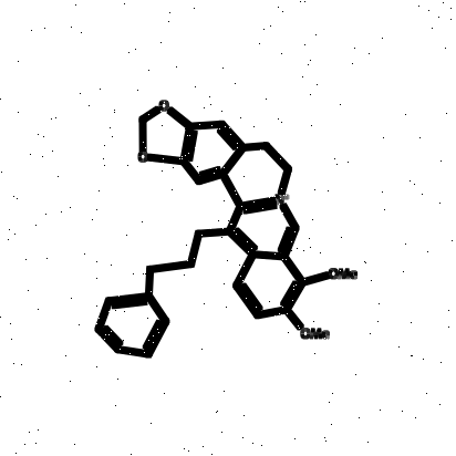 COc1ccc2c(CCCc3ccccc3)c3[n+](cc2c1OC)CCc1cc2c(cc1-3)OCO2